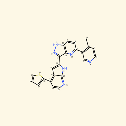 Cc1ccncc1-c1ccc2[nH]nc(-c3cc4c(-c5cccs5)ccnc4[nH]3)c2n1